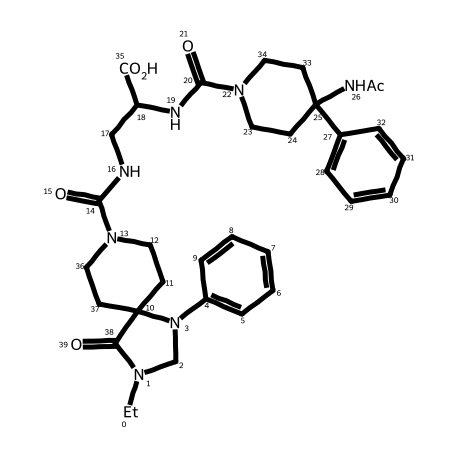 CCN1CN(c2ccccc2)C2(CCN(C(=O)NCC(NC(=O)N3CCC(NC(C)=O)(c4ccccc4)CC3)C(=O)O)CC2)C1=O